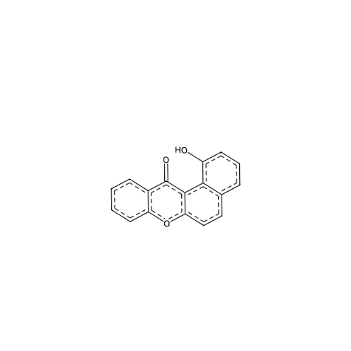 O=c1c2ccccc2oc2ccc3cccc(O)c3c12